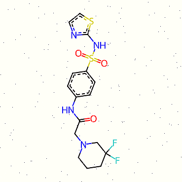 O=C(CN1CCCC(F)(F)C1)Nc1ccc(S(=O)(=O)Nc2nccs2)cc1